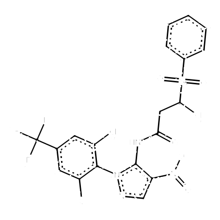 O=C(CC(Cl)S(=O)(=O)c1ccccc1)Nc1c([N+](=O)[O-])cnn1-c1c(Cl)cc(C(F)(F)F)cc1Cl